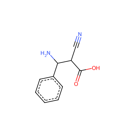 N#CC(C(=O)O)C(N)c1ccccc1